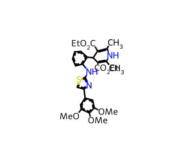 CCOC(=O)C1=C(C)NC(C)=C(C(=O)OCC)C1c1ccccc1Nc1nc(-c2cc(OC)c(OC)c(OC)c2)cs1